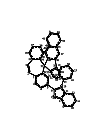 C1=Cc2ccc(-c3nc4ccccc4n3-c3ccccc3)cc2C2(c3ccccc31)c1ccccc1-c1cc3ccccc3cc12